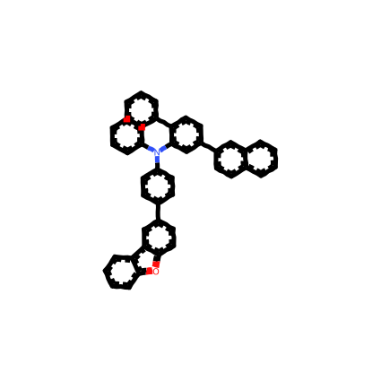 c1ccc(-c2ccc(-c3ccc4ccccc4c3)cc2N(c2ccccc2)c2ccc(-c3ccc4oc5ccccc5c4c3)cc2)cc1